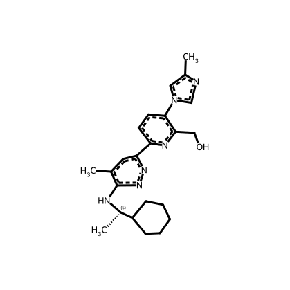 Cc1cn(-c2ccc(-c3cc(C)c(N[C@@H](C)C4CCCCC4)nn3)nc2CO)cn1